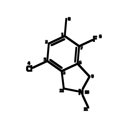 Cc1cc(Cl)c2c(c1F)CN(C)C2